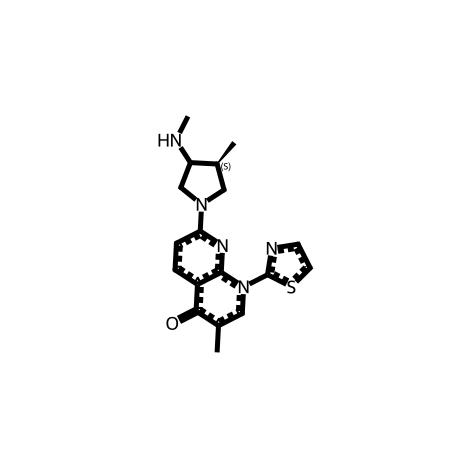 CNC1CN(c2ccc3c(=O)c(C)cn(-c4nccs4)c3n2)C[C@@H]1C